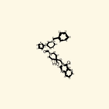 O=C([C@H]1CCN(Cc2ccccc2)C[C@@H]1c1cccs1)N1CCC(O)(Cn2cnc3cccnc3c2=O)CC1